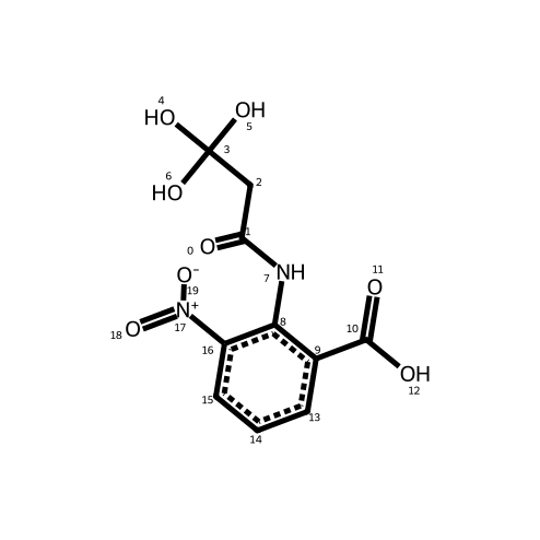 O=C(CC(O)(O)O)Nc1c(C(=O)O)cccc1[N+](=O)[O-]